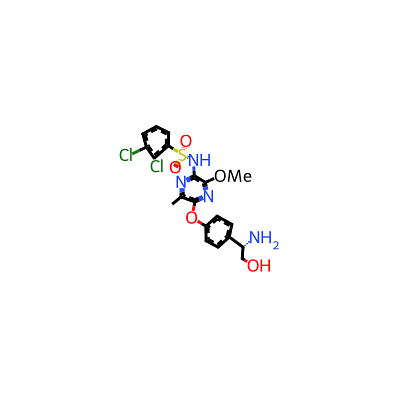 COc1nc(Oc2ccc([C@H](N)CO)cc2)c(C)nc1NS(=O)(=O)c1cccc(Cl)c1Cl